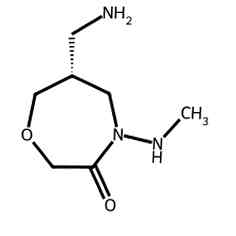 CNN1C[C@@H](CN)COCC1=O